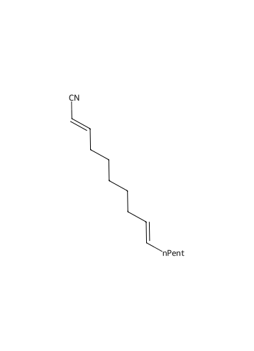 CCCCCC=CCCCCCC=CC#N